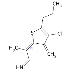 C=c1c(Cl)c(CCC)s/c1=C(\C)C=N